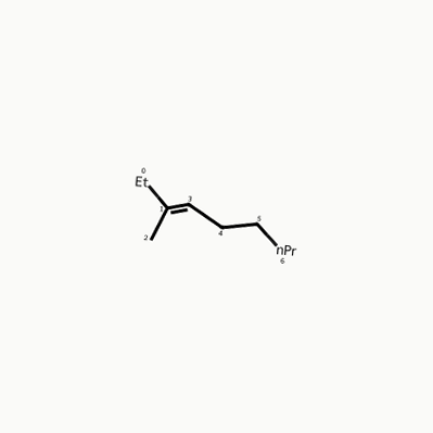 [CH2]CC(C)=CCCCCC